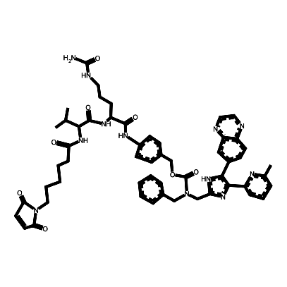 Cc1cccc(-c2nc(CN(Cc3ccccc3)C(=O)OCc3ccc(NC(=O)C(CCCNC(N)=O)NC(=O)C(NC(=O)CCCCCN4C(=O)C=CC4=O)C(C)C)cc3)[nH]c2-c2ccc3nccnc3c2)n1